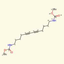 CC(C)(C)OC(=O)NCCCCC#CC#CCCCCNC(=O)OC(C)(C)C